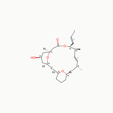 C[C@H]1/C=C/[C@H](C)[C@H](/C=C/I)OC(=O)C[C@@H]2C[C@H](O)C[C@H](C[C@@H]3CCC[C@H](C1)O3)O2